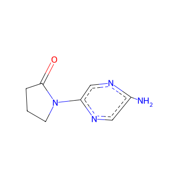 Nc1cnc(N2CCCC2=O)cn1